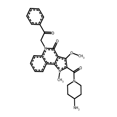 COc1c(C(=O)N2CCC(N)CC2)n(C)c2c1c(=O)n(CC(=O)c1ccccc1)c1ccccc21